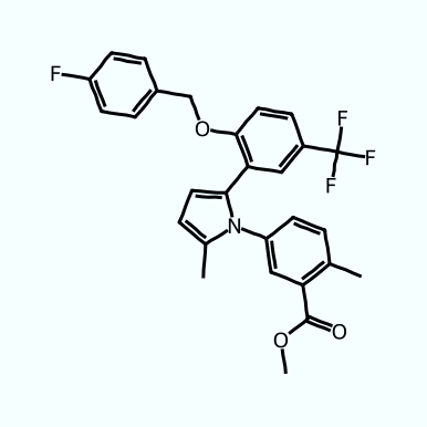 COC(=O)c1cc(-n2c(C)ccc2-c2cc(C(F)(F)F)ccc2OCc2ccc(F)cc2)ccc1C